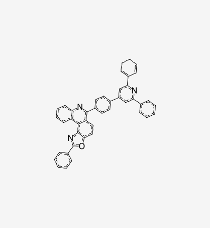 C1=CC(c2cc(-c3ccc(-c4nc5ccccc5c5c4ccc4oc(-c6ccccc6)nc45)cc3)cc(-c3ccccc3)n2)=CCC1